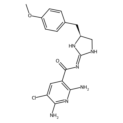 COc1ccc(C[C@H]2CN/C(=N/C(=O)c3cc(Cl)c(N)nc3N)N2)cc1